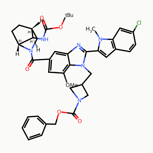 COc1cc(C(=O)N2C[C@H]3CC[C@@H]2[C@@H]3NC(=O)OC(C)(C)C)cc2nc(-c3cc4ccc(Cl)cc4n3C)n(CC3CN(C(=O)OCc4ccccc4)C3)c12